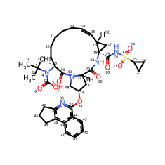 CC(C)(C)N(C(=O)O)[C@H]1CCCCCC=C[C@@H]2C[C@@]2(C(=O)NS(=O)(=O)C2CC2)NC(=O)[C@@H]2C[C@@H](Oc3nc4c(c5ccccc35)CCC4)CN2C1=O